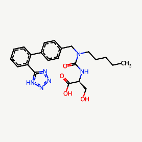 CCCCCN(Cc1ccc(-c2ccccc2-c2nnn[nH]2)cc1)C(=O)N[C@@H](CO)C(=O)O